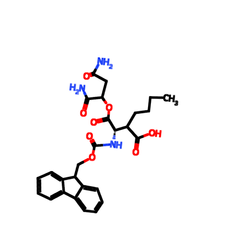 CCCCC(C(=O)O)[C@H](NC(=O)OCC1c2ccccc2-c2ccccc21)C(=O)OC(CC(N)=O)C(N)=O